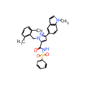 Cc1cccc(C)c1Cn1nc(-c2ccc3c(ccn3C)c2)cc1C(=O)NS(=O)(=O)c1ccccc1